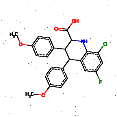 COc1ccc(C2c3cc(F)cc(Cl)c3NC(C(=O)O)C2c2ccc(OC)cc2)cc1